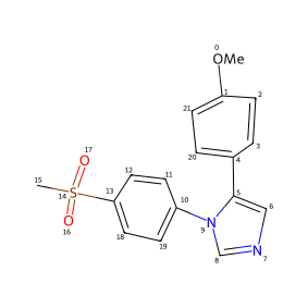 COc1ccc(-c2cncn2-c2ccc(S(C)(=O)=O)cc2)cc1